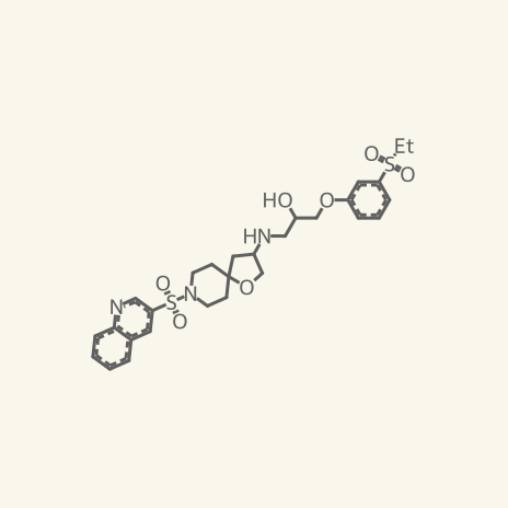 CCS(=O)(=O)c1cccc(OCC(O)CNC2COC3(CCN(S(=O)(=O)c4cnc5ccccc5c4)CC3)C2)c1